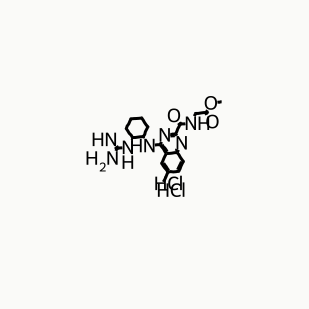 COC(=O)CNC(=O)c1nc(N[C@H]2CCCC[C@H]2NC(=N)N)c2cc(C)ccc2n1.Cl.Cl